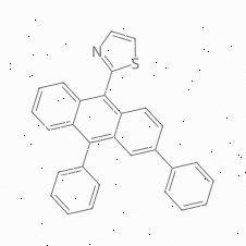 c1ccc(-c2ccc3c(-c4nccs4)c4ccccc4c(-c4ccccc4)c3c2)cc1